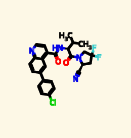 CC(C)[C@H](NC(=O)c1ccnc2ccc(-c3ccc(Cl)cc3)cc12)C(=O)N1CC(F)(F)C[C@H]1C#N